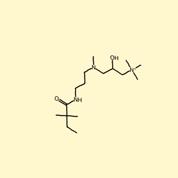 CCC(C)(C)C(=O)NCCCN(C)CC(O)C[N+](C)(C)C